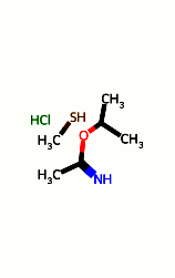 CC(=N)OC(C)C.CS.Cl